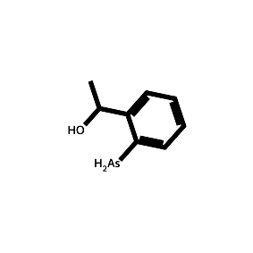 CC(O)c1ccccc1[AsH2]